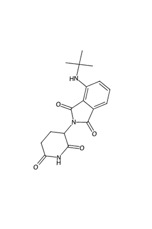 CC(C)(C)Nc1cccc2c1C(=O)N(C1CCC(=O)NC1=O)C2=O